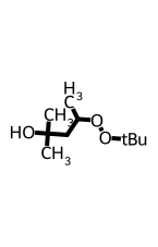 CC(CC(C)(C)O)OOC(C)(C)C